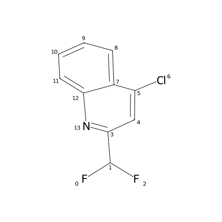 FC(F)c1cc(Cl)c2ccccc2n1